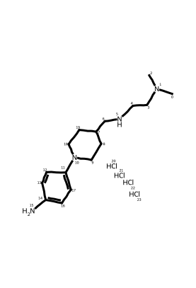 CN(C)CCNCC1CCN(c2ccc(N)cc2)CC1.Cl.Cl.Cl.Cl